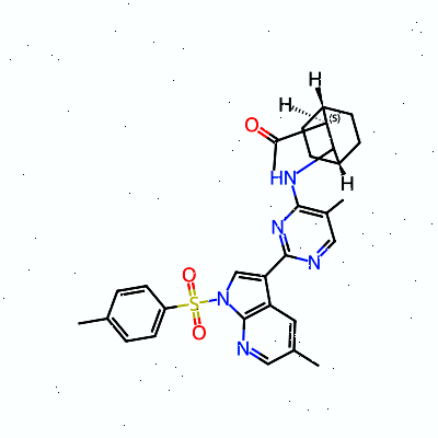 CC(=O)[C@@H]1C(Nc2nc(-c3cn(S(=O)(=O)c4ccc(C)cc4)c4ncc(C)cc34)ncc2C)[C@H]2CC[C@@H]1CC2